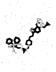 CN(C)Cc1c(OCC2CC2)ccc2c(CCC3CCN(C[C@H]4C[C@@H]4CCC(C)(C)[Si](O)(c4ccccc4)c4ccccc4)CC3)noc12